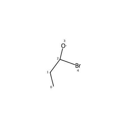 CCC([O])Br